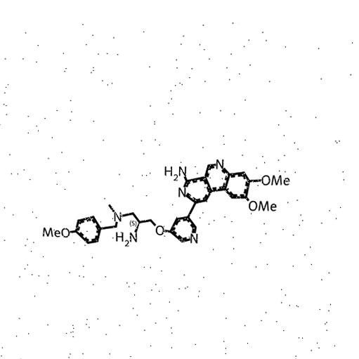 COc1ccc(CN(C)C[C@H](N)COc2cncc(-c3cc4c(cnc5cc(OC)c(OC)cc54)c(N)n3)c2)cc1